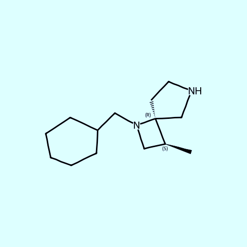 C[C@H]1CN(CC2CCCCC2)[C@]12CCNC2